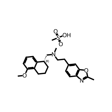 COc1cccc2c1CCC[C@H]2CN(C)CCc1ccc2nc(C)oc2c1.CS(=O)(=O)O